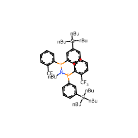 CCCCN(P(c1cccc([Si](CCCC)(CCCC)CCCC)c1)c1ccccc1C(F)(F)F)P(c1cccc([Si](CCCC)(CCCC)CCCC)c1)c1ccccc1C(F)(F)F